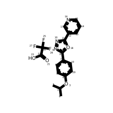 CC(C)Oc1ccc(-c2nnc(-c3cccnc3)o2)cc1.O=C(O)C(F)(F)F